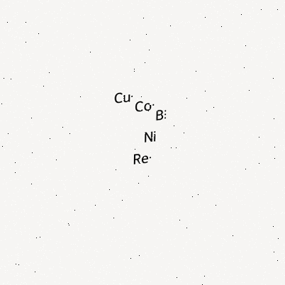 [B].[Co].[Cu].[Ni].[Re]